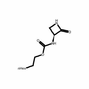 CCCCCCCCOC(=O)N[C@H]1CNC1=O